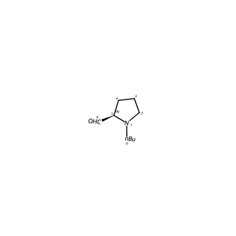 CCCCN1CCC[C@@H]1C=O